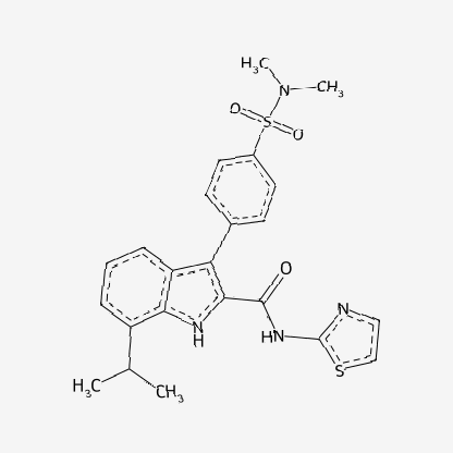 CC(C)c1cccc2c(-c3ccc(S(=O)(=O)N(C)C)cc3)c(C(=O)Nc3nccs3)[nH]c12